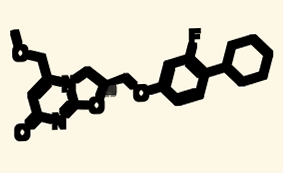 COCc1cc(=O)nc2n1C[C@@H](COc1ccc(C3CCCCC3)c(F)c1)O2